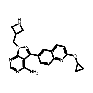 Nc1ncnc2c1c(-c1ccc3nc(OC4CC4)ccc3c1)nn2CC1CNC1